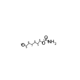 NC(=O)OCCCCCC[O]